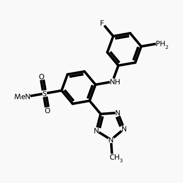 CNS(=O)(=O)c1ccc(Nc2cc(F)cc(P)c2)c(-c2nnn(C)n2)c1